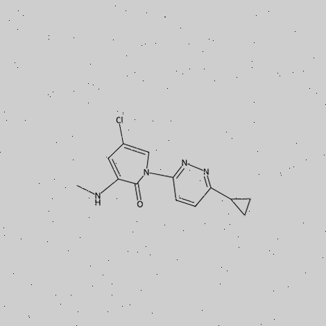 CNc1cc(Cl)cn(-c2ccc(C3CC3)nn2)c1=O